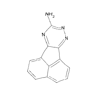 Nc1nnc2c(n1)-c1cccc3cccc-2c13